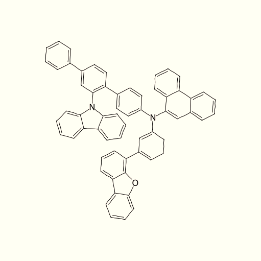 C1=C(c2cccc3c2oc2ccccc23)C=C(N(c2ccc(-c3ccc(-c4ccccc4)cc3-n3c4ccccc4c4ccccc43)cc2)c2cc3ccccc3c3ccccc23)CC1